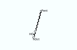 CCCCCC=CCC=CCCCCCCCCOCC(O)COCCCCCCCC